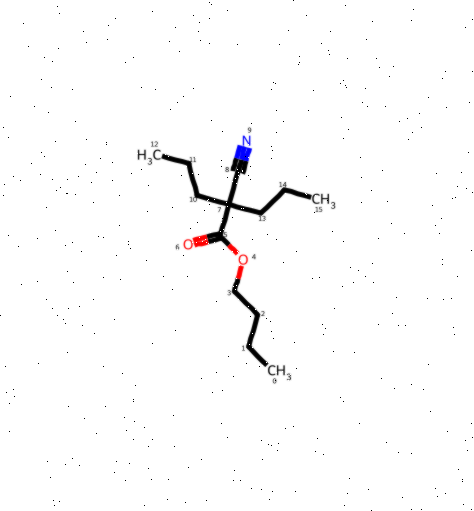 CCCCOC(=O)C(C#N)(CCC)CCC